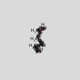 C[C@@H](C1CCN(c2ncc(Cl)c(Nc3ccc4c(c3)c3c(c(=O)n4C)OCC(F)(F)C(C4CC4)N3)n2)CC1)N1CCC(c2ccc3c(C4CCC(=O)NC4=O)nn(C)c3c2)CC1